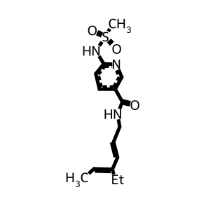 CC=C(C=CCNC(=O)c1ccc(NS(C)(=O)=O)nc1)CC